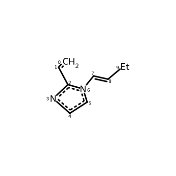 C=Cc1nccn1C=CCC